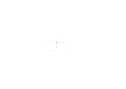 CCOC(=O)C1(COC)CCCO1